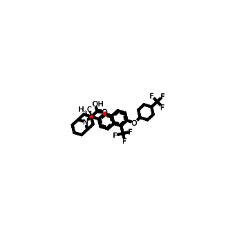 C[C@@H](c1ccc2c(C(F)(F)F)c(OC3CCC(C(F)(F)F)CC3)ccc2c1)N1C2CCCC1CC(C(=O)O)C2